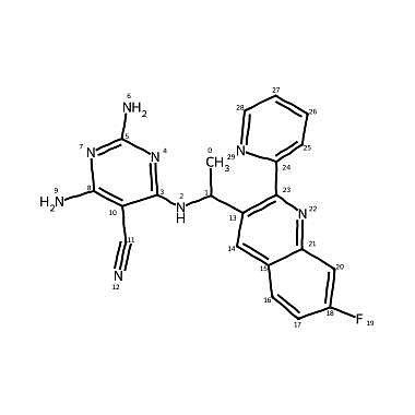 CC(Nc1nc(N)nc(N)c1C#N)c1cc2ccc(F)cc2nc1-c1ccccn1